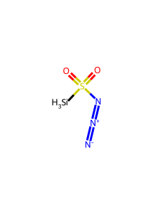 [N-]=[N+]=NS(=O)(=O)[SiH3]